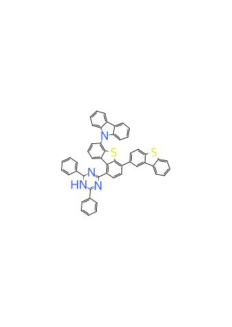 c1ccc(C2=NC(c3ccc(-c4ccc5sc6ccccc6c5c4)c4sc5c(-n6c7ccccc7c7ccccc76)cccc5c34)=NC(c3ccccc3)N2)cc1